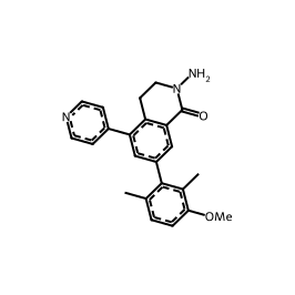 COc1ccc(C)c(-c2cc3c(c(-c4ccncc4)c2)CCN(N)C3=O)c1C